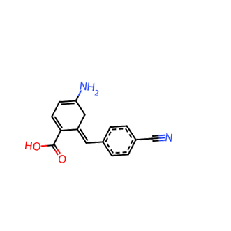 N#Cc1ccc(C=C2CC(N)=CC=C2C(=O)O)cc1